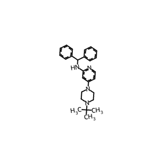 CC(C)(C)N1CCN(c2ccnc(NC(c3ccccc3)c3ccccc3)c2)CC1